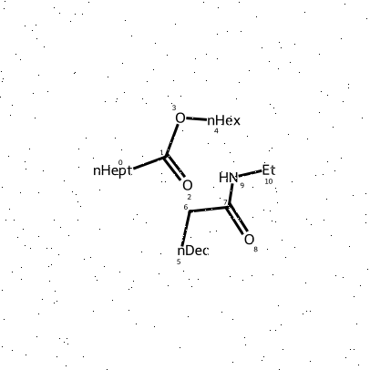 CCCCCCCC(=O)OCCCCCC.CCCCCCCCCCCC(=O)NCC